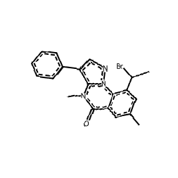 Cc1cc(C(C)Br)c2c(c1)c(=O)n(C)c1c(-c3ccccc3)cnn21